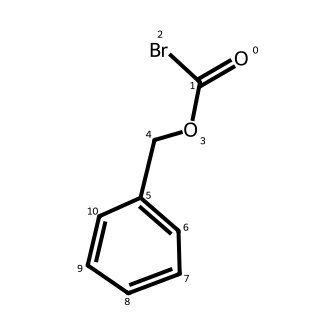 O=C(Br)OCc1ccccc1